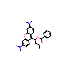 CCCC(OC(=O)c1ccccc1)c1c2ccc(=[N+](C)C)cc-2oc2cc(N(C)C)ccc12